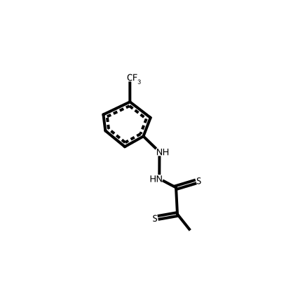 CC(=S)C(=S)NNc1cccc(C(F)(F)F)c1